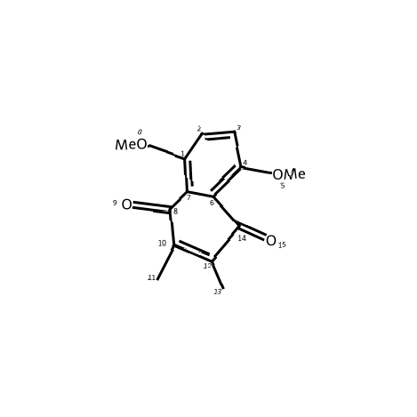 COc1ccc(OC)c2c1C(=O)C(C)=C(C)C2=O